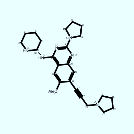 COc1cc2c(N[C@H]3CCCCN3)nc(N3CCCC3)nc2cc1C#CCN1CCCC1